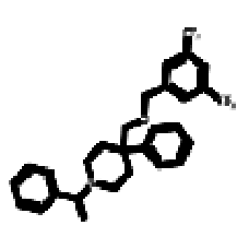 CC(c1ccccc1)N1CCC(COCc2cc(C(F)(F)F)cc(C(F)(F)F)c2)(c2ccccc2)CC1